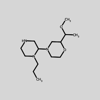 CCCN1CCNCC1N1CCOC(C(C)OC)C1